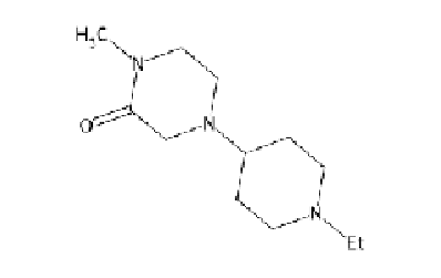 CCN1CCC(N2CCN(C)C(=O)C2)CC1